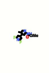 COC(=O)Nc1cc(-c2cc(F)nc(F)c2)c(C)cn1